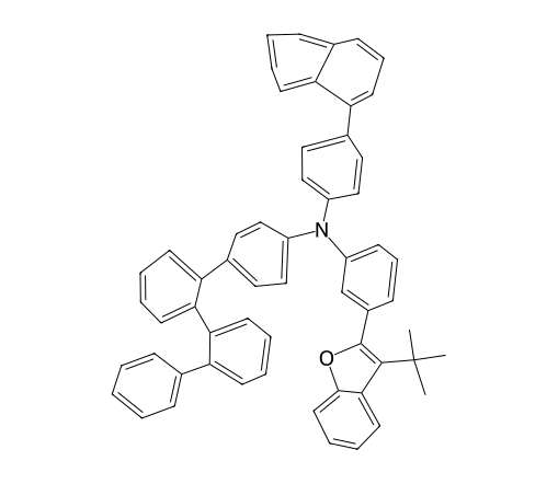 CC(C)(C)c1c(-c2cccc(N(c3ccc(-c4ccccc4-c4ccccc4-c4ccccc4)cc3)c3ccc(-c4cccc5ccccc45)cc3)c2)oc2ccccc12